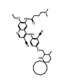 CCOc1cc2ncc(C#N)c(Nc3ccc(OCC4NC5(CCCCCCCCC5)CCC4C)cc3C#N)c2cc1NC(=O)CCCN(C)C